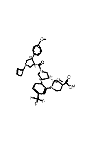 COC[C@H]1CN(C(=O)[C@@H]2CN(C3CCC3)C[C@H]2c2ccc(OC)cc2)C[C@@H]1C1CC=C(C(F)(F)F)C=C1N1CCC(C(=O)O)CC1